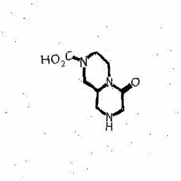 O=C(O)N1CCN2C(=O)CNCC2C1